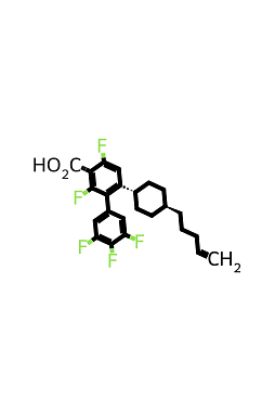 C=CCCC[C@H]1CC[C@H](c2cc(F)c(C(=O)O)c(F)c2-c2cc(F)c(F)c(F)c2)CC1